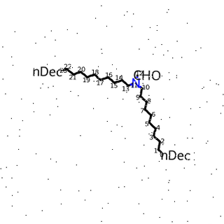 CCCCCCCCCCCCCCCCCCCCN(C=O)CCCCCCCCCCCCCCCCCCCC